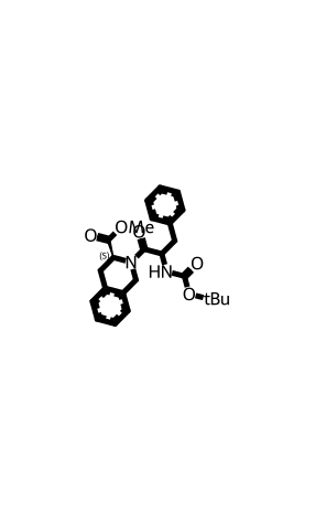 COC(=O)[C@@H]1Cc2ccccc2CN1C(=O)C(Cc1ccccc1)NC(=O)OC(C)(C)C